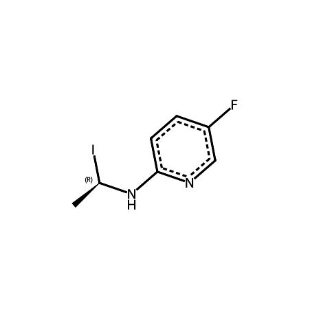 C[C@@H](I)Nc1ccc(F)cn1